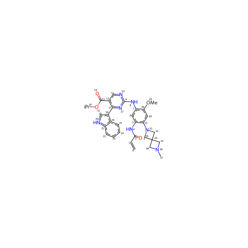 C=CC(=O)Nc1cc(Nc2ncc(C(=O)OC(C)C)c(-c3c[nH]c4ccccc34)n2)c(OC)cc1N1CC2(CN(C)C2)C1